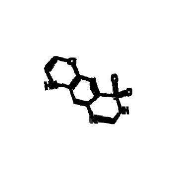 O=S1(=O)NC=Nc2cc3c(cc21)OC=CN3